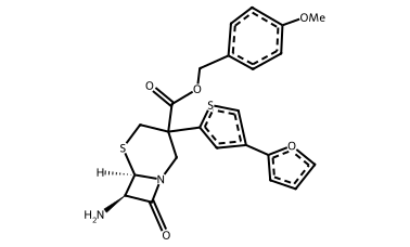 COc1ccc(COC(=O)C2(c3cc(-c4ccco4)cs3)CS[C@@H]3[C@H](N)C(=O)N3C2)cc1